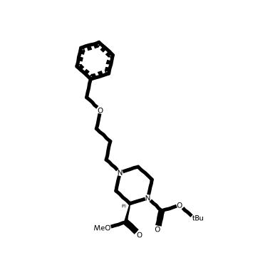 COC(=O)[C@H]1CN(CCCOCc2ccccc2)CCN1C(=O)OC(C)(C)C